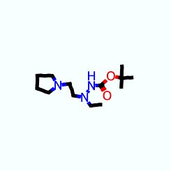 CCN(CCN1CCCC1)NC(=O)OC(C)(C)C